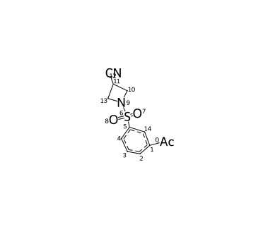 CC(=O)c1cccc(S(=O)(=O)N2CC(C#N)C2)c1